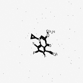 C#Cc1c(F)c(F)c(F)c2c1c(=O)c(OC(=O)O)cn2C1CC1